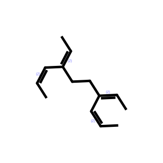 C/C=C\C(=C/C)CCC(/C=C\C)=C/C